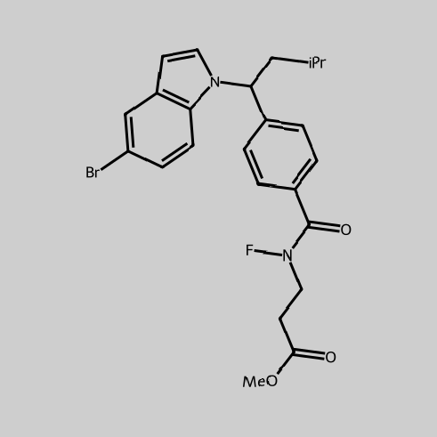 COC(=O)CCN(F)C(=O)c1ccc(C(CC(C)C)n2ccc3cc(Br)ccc32)cc1